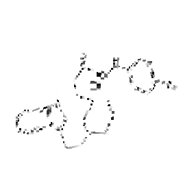 CC[C@]1(CCC(=O)ONc2ccc(C(C)=O)cc2)CCCN2CCc3c([nH]c4ccccc34)C21